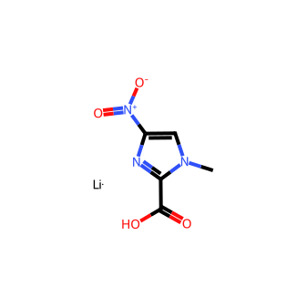 Cn1cc([N+](=O)[O-])nc1C(=O)O.[Li]